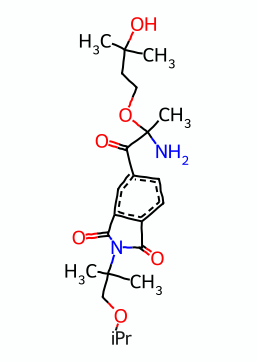 CC(C)OCC(C)(C)N1C(=O)c2ccc(C(=O)C(C)(N)OCCC(C)(C)O)cc2C1=O